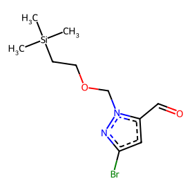 C[Si](C)(C)CCOCn1nc(Br)cc1C=O